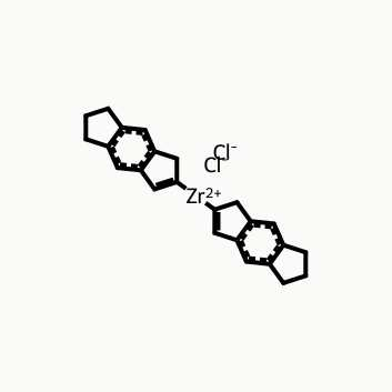 C1=[C]([Zr+2][C]2=Cc3cc4c(cc3C2)CCC4)Cc2cc3c(cc21)CCC3.[Cl-].[Cl-]